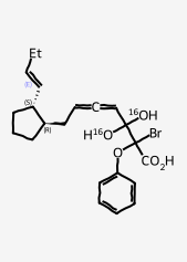 CC/C=C/[C@H]1CCC[C@@H]1CC=C=CC([16OH])([16OH])C(Br)(Oc1ccccc1)C(=O)O